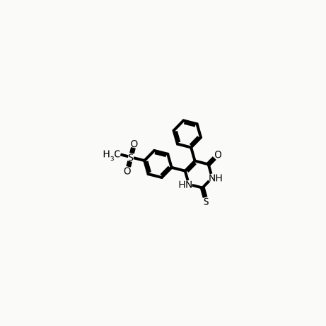 CS(=O)(=O)c1ccc(-c2[nH]c(=S)[nH]c(=O)c2-c2ccccc2)cc1